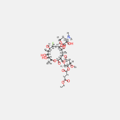 CCOC(=O)CCC(=O)O[C@H]1[C@H](C)O[C@@H](O[C@H]2[C@H](C)[C@@H](O[C@@H]3O[C@H](C)C[C@H](N(C)C)[C@H]3O)[C@](C)(O)C[C@](C)(F)C(=O)[C@H](C)[C@@H](O)[C@](C)(O)[C@@H](CC)OC(=O)[C@@H]2C)C[C@@]1(C)OC